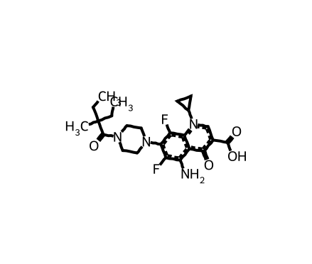 CCC(C)(CC)C(=O)N1CCN(c2c(F)c(N)c3c(=O)c(C(=O)O)cn(C4CC4)c3c2F)CC1